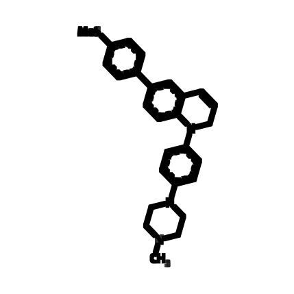 CSc1ccc(-c2ccc3c(c2)C=CCN3c2ccc(N3CCN(C)CC3)cc2)cc1